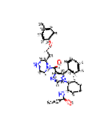 COC(=O)N[C@H]1CCCC[C@@H]1n1cnc(C(=O)N2CCNC[C@H]2CCOc2ccc(C)cc2)c1-c1ccccc1